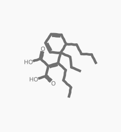 CCCCC(=C(C(=O)O)C(=O)O)C1(CCC)C=CC=CC1CCCC